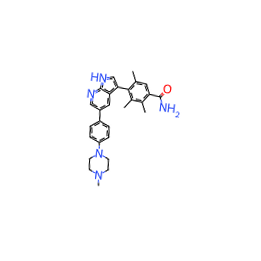 Cc1cc(C(N)=O)c(C)c(C)c1-c1c[nH]c2ncc(-c3ccc(N4CCN(C)CC4)cc3)cc12